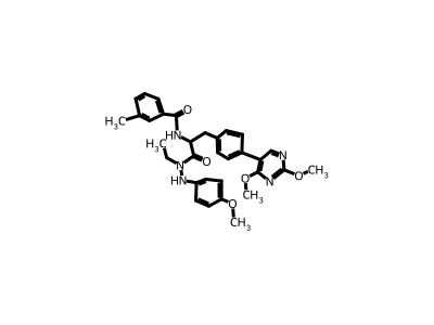 CCN(Nc1ccc(OC)cc1)C(=O)C(Cc1ccc(-c2cnc(OC)nc2OC)cc1)NC(=O)c1cccc(C)c1